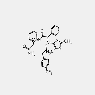 CNC(=O)C(c1ccccc1)N(CCCc1ccc(C(F)(F)F)cc1)c1sc(C)nc1C.NC(=O)Cc1ccccc1